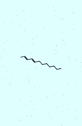 CC=CC=CCCCCCCC